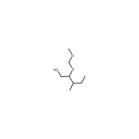 CCC(C)C(CO)OCOC